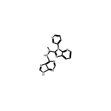 C[C@H](Nc1ncnc2[nH]cnc12)c1nc2cccnc2n1-c1cccnc1